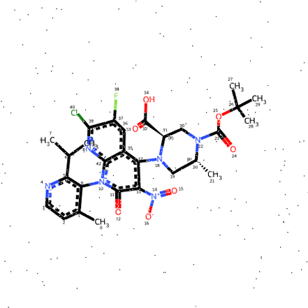 Cc1ccnc(C(C)C)c1-n1c(=O)c([N+](=O)[O-])c(N2C[C@@H](C)N(C(=O)OC(C)(C)C)C[C@@H]2C(=O)O)c2cc(F)c(Cl)nc21